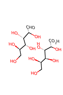 O=C(O)[C@H](O)[C@@H](O)[C@@H](O)[C@H](O)CO.O=C[C@H](O)[C@@H](O)[C@H](O)[C@H](O)CO